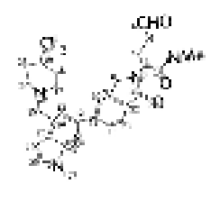 CNC(=O)C(CCC=O)N1Cc2cc(-c3cc(CN4CCC(C(F)(F)F)CC4)c4ccn(C)c4n3)ccc2C1=O